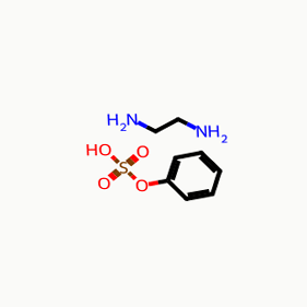 NCCN.O=S(=O)(O)Oc1ccccc1